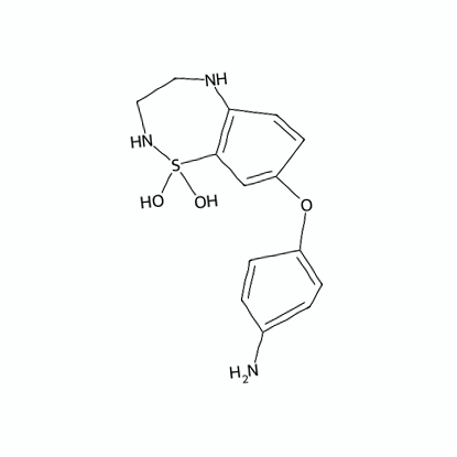 Nc1ccc(Oc2ccc3c(c2)S(O)(O)NCCN3)cc1